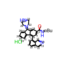 CCCCNC(=O)c1cc(-c2cccc3ccncc23)c2c(c1)C(N1CCNCC1)c1ccccc1-2.Cl